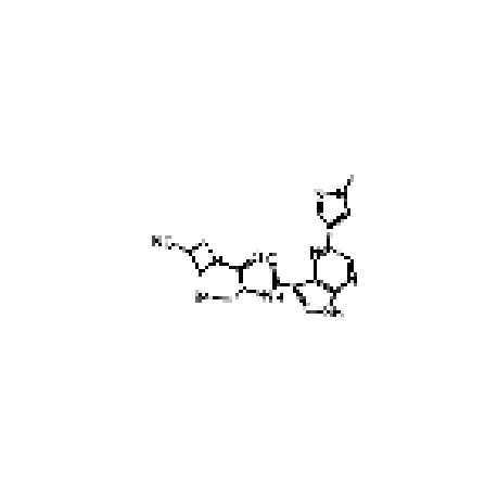 CC(C)C[C@@H](NC(=O)c1c[nH]c2ncc(-c3cnn(C)c3)nc12)C(=O)N1CC(C#N)C1